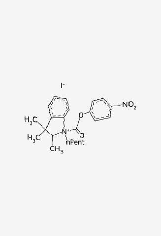 CCCCC[N+]1(C(=O)Oc2ccc([N+](=O)[O-])cc2)c2ccccc2C(C)(C)C1C.[I-]